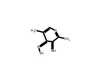 CC1=CN=C(C)C(=N)/C1=N\S